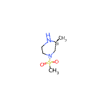 C[C@H]1CN(S(C)(=O)=O)CCN1